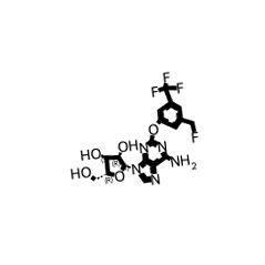 Nc1nc(Oc2cc(CF)cc(C(F)(F)F)c2)nc2c1ncn2[C@@H]1O[C@H](CO)[C@@H](O)[C@H]1O